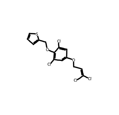 ClC(Cl)=CCOc1cc(Cl)c(OCc2cccs2)c(Cl)c1